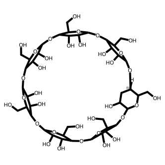 OCC1OC2OC3C(CO)OC(OC4C(CO)OC(OC5C(CO)OC(OC6C(CO)OC(OC7C(CO)OC(O[C@H]8CC(O)C(OC1C(O)C2O)OC8CO)C(O)C7O)C(O)C6O)C(O)C5O)C(O)C4O)C(O)C3O